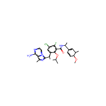 COC1C=CC(C(C)NC(=O)c2c(F)c(Cl)cc(C(C)c3nc(C)c4c(N)nccn34)c2OC(C)C)=CC1C